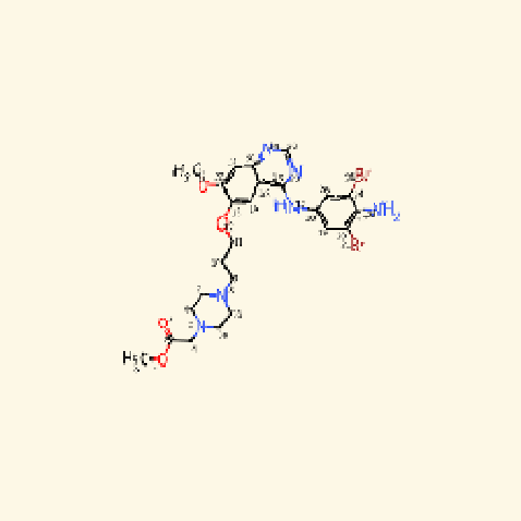 COC(=O)CN1CCN(CCCOc2cc3c(Nc4cc(Br)c(N)c(Br)c4)ncnc3cc2OC)CC1